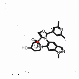 Cc1cc(C2OC=C(C(N)=O)N2c2cc3cnn(C)c3cc2N2CCC(O)CC2)cc(C)n1